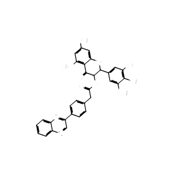 O=C(Cc1ccc(-c2cnc3ccccc3n2)cc1)OC1C(=O)c2c(O)cc(O)cc2OC1c1cc(O)c(O)c(O)c1